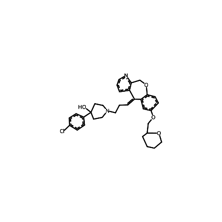 OC1(c2ccc(Cl)cc2)CCN(CCC=C2c3cc(OCC4CCCCO4)ccc3OCc3ncccc32)CC1